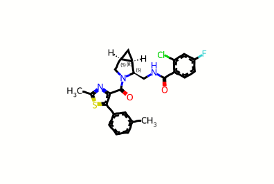 Cc1cccc(-c2sc(C)nc2C(=O)N2C[C@H]3C[C@H]3[C@H]2CNC(=O)c2ccc(F)cc2Cl)c1